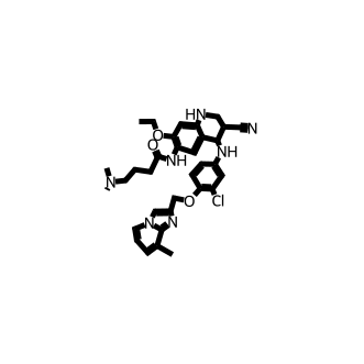 CCOc1cc2c(cc1NC(=O)CCCN(C)C)C(Nc1ccc(OCc3cn4cccc(C)c4n3)c(Cl)c1)C(C#N)CN2